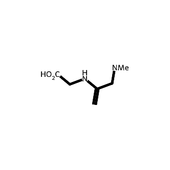 C=C(CNC)NCC(=O)O